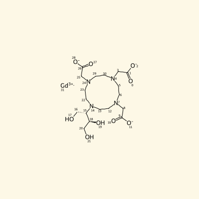 O=C([O-])CN1CCN(CC(=O)[O-])CCN([C@@H](CO)[C@@H](O)CO)CCN(CC(=O)[O-])CC1.[Gd+3]